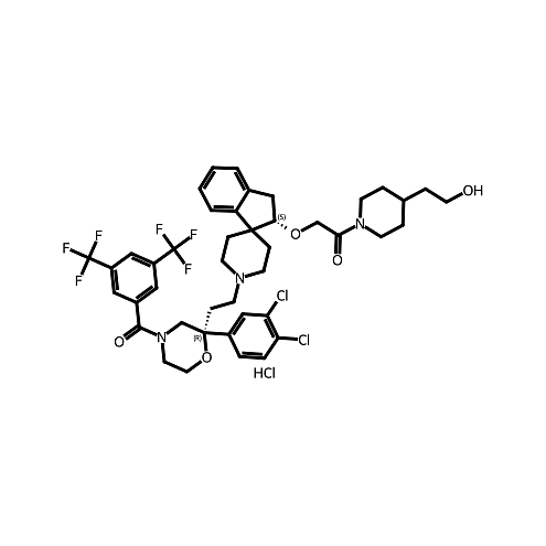 Cl.O=C(CO[C@H]1Cc2ccccc2C12CCN(CC[C@@]1(c3ccc(Cl)c(Cl)c3)CN(C(=O)c3cc(C(F)(F)F)cc(C(F)(F)F)c3)CCO1)CC2)N1CCC(CCO)CC1